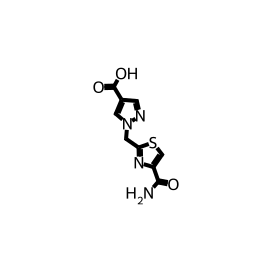 NC(=O)c1csc(Cn2cc(C(=O)O)cn2)n1